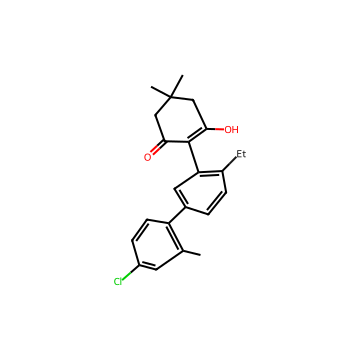 CCc1ccc(-c2ccc(Cl)cc2C)cc1C1=C(O)CC(C)(C)CC1=O